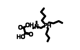 CCCC[PH](CCCC)(CCCC)CN(C)C.O=C(O)C(=O)O